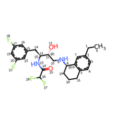 CCc1ccc2c(c1)[C@H](NC[C@@H](O)[C@H](Cc1cc(F)cc(F)c1)NC(=O)C(F)F)CCC2